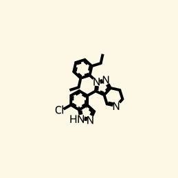 CCc1cccc(CC)c1-n1nc2c(c1-c1ccc(Cl)c3[nH]ncc13)C=NCC2